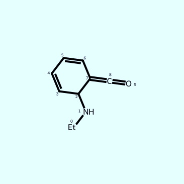 CCNC1C=CC=CC1=C=O